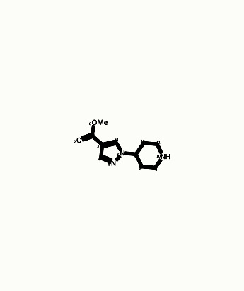 COC(=O)c1cnn(C2CCNCC2)c1